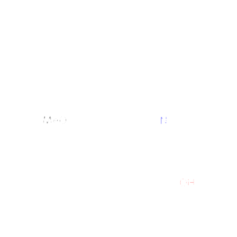 COc1cccc(CN2CC(O)C2)c1